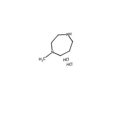 CN1CCCNCC1.Cl.Cl